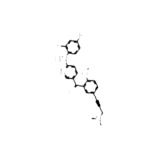 COc1ccc(C#CCN(C)C)cc1C(=O)c1ccc(Nc2ccc(F)cc2F)nc1